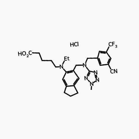 CCN(CCCCC(=O)O)c1cc2c(cc1CN(Cc1cc(C#N)cc(C(F)(F)F)c1)c1nnn(C)n1)CCC2.Cl